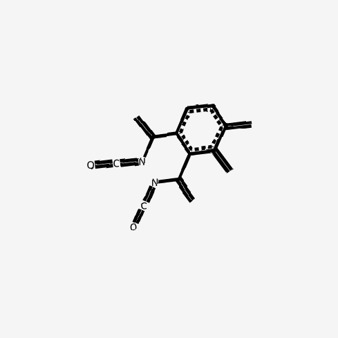 C=C(N=C=O)c1ccc(=C)c(=C)c1C(=C)N=C=O